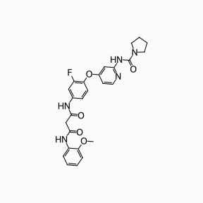 COc1ccccc1NC(=O)CC(=O)Nc1ccc(Oc2ccnc(NC(=O)N3CCCC3)c2)c(F)c1